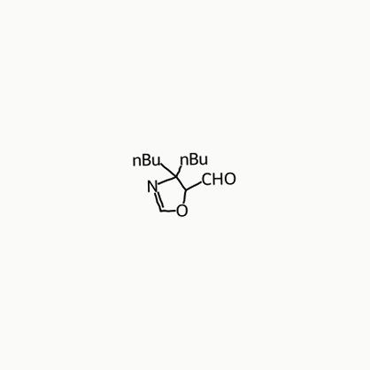 CCCCC1(CCCC)N=COC1C=O